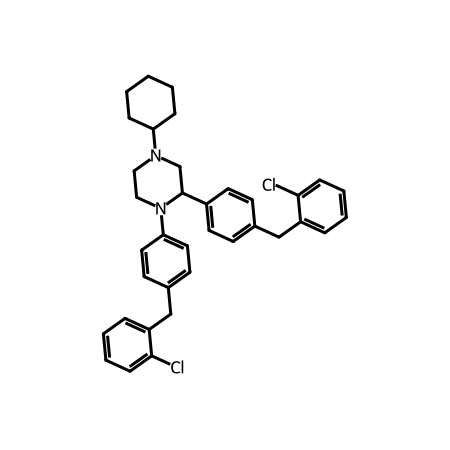 Clc1ccccc1Cc1ccc(C2CN(C3CCCCC3)CCN2c2ccc(Cc3ccccc3Cl)cc2)cc1